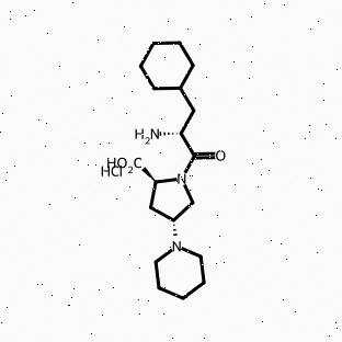 Cl.N[C@H](CC1CCCCC1)C(=O)N1C[C@H](N2CCCCC2)C[C@H]1C(=O)O